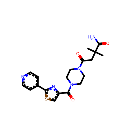 CC(C)([CH]C(=O)N1CCN(C(=O)c2csc(-c3ccncc3)n2)CC1)C(N)=O